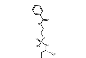 O=C(O)CC[C@H](NP(=O)(O)OCCNC(=O)c1ccccc1)C(=O)O